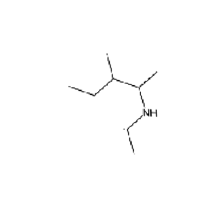 C[CH]NC(C)C(C)CC